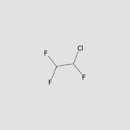 F[C](F)C(F)Cl